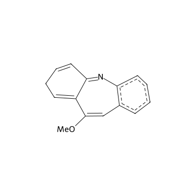 COC1=Cc2ccccc2N=C2C=CCC=C12